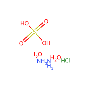 Cl.N.N.O.O.O=S(=O)(O)O